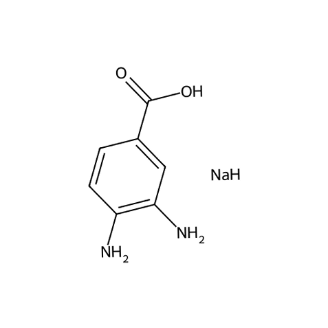 Nc1ccc(C(=O)O)cc1N.[NaH]